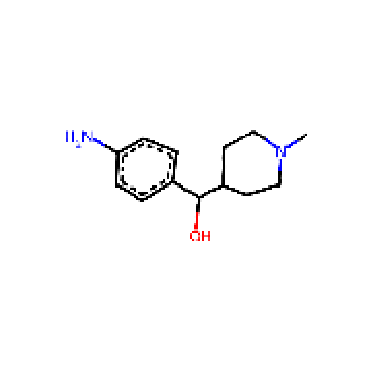 CN1CCC(C(O)c2ccc(N)cc2)CC1